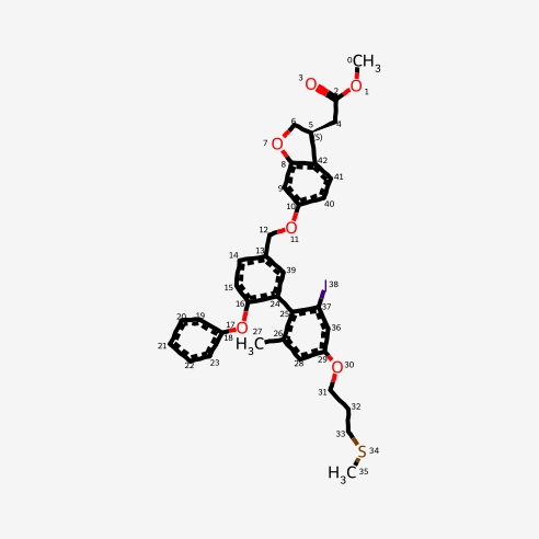 COC(=O)C[C@@H]1COc2cc(OCc3ccc(Oc4ccccc4)c(-c4c(C)cc(OCCCSC)cc4I)c3)ccc21